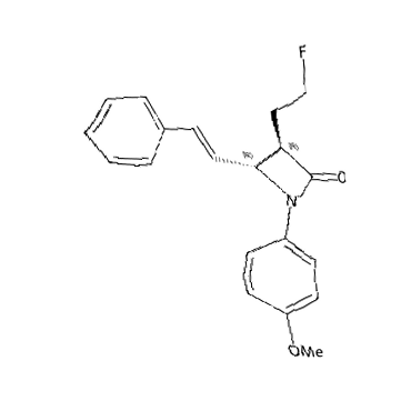 COc1ccc(N2C(=O)[C@H](CCF)[C@H]2C=Cc2ccccc2)cc1